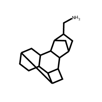 NCC1CC2CC1C1C3CC4CCC3C3C4CC3C21